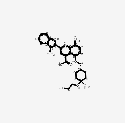 Cc1c(-c2cc(C(=O)O)c3c(OC[C@H]4CC[C@@](C)(OCCF)CC4)ccc(C)c3n2)oc2ccccc12